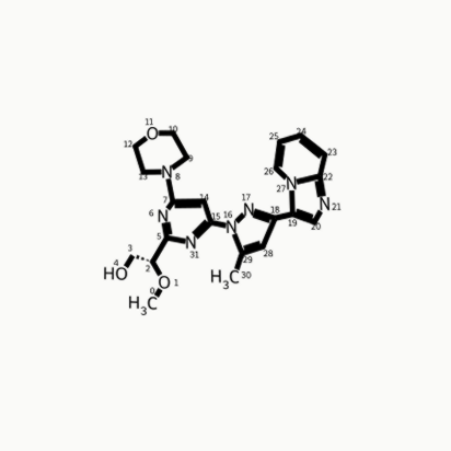 CO[C@H](CO)c1nc(N2CCOCC2)cc(-n2nc(-c3cnc4ccccn34)cc2C)n1